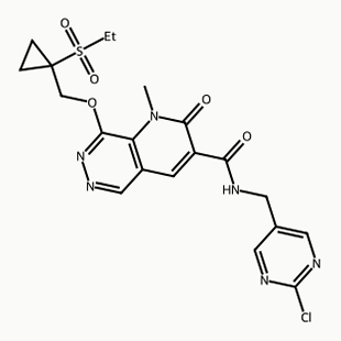 CCS(=O)(=O)C1(COc2nncc3cc(C(=O)NCc4cnc(Cl)nc4)c(=O)n(C)c23)CC1